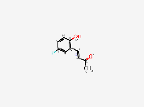 CC(=O)/C=C/c1cc(F)ccc1O